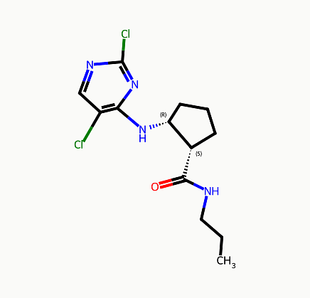 CCCNC(=O)[C@H]1CCC[C@H]1Nc1nc(Cl)ncc1Cl